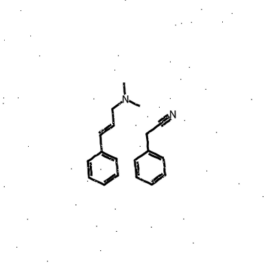 CN(C)CC=Cc1ccccc1.N#CCc1ccccc1